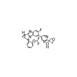 OC1(c2ncc(-c3cc4c(cc3F)nc3n4[C@@H](c4ccccc4OC(F)F)C4C[C@@H]34)cn2)COC1